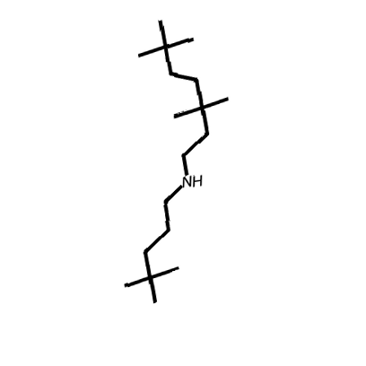 CC(C)(C)CCCNCCC(C)(C)CCC(C)(C)C